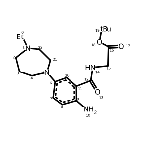 CCN1CCCN(c2ccc(N)c(C(=O)NCC(=O)OC(C)(C)C)c2)CC1